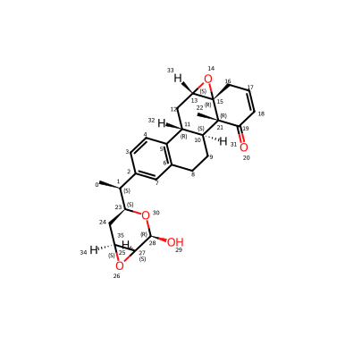 C[C@@H](c1ccc2c(c1)CC[C@H]1[C@H]2C[C@@H]2O[C@@]23CC=CC(=O)[C@]13C)[C@@H]1C[C@@H]2O[C@@H]2[C@H](O)O1